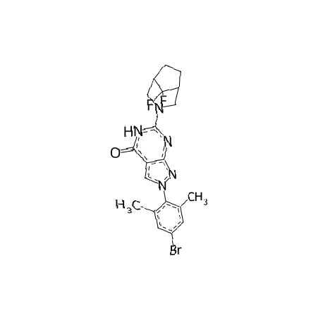 Cc1cc(Br)cc(C)c1-n1cc2c(=O)[nH]c(N3CC4CCC(C3)C4(F)F)nc2n1